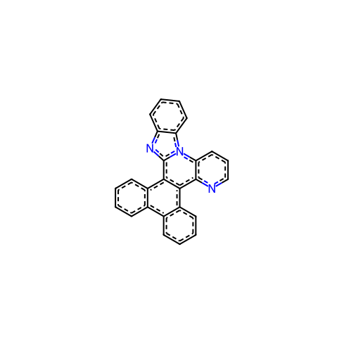 c1ccc2c(c1)nc1c3c4ccccc4c4ccccc4c3c3ncccc3n21